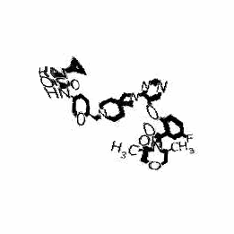 C[C@@H]1COC[C@](C)(O)N1C(=O)c1cc(F)ccc1Oc1cncnc1N1CC2(CCN(C[C@@H]3CC[C@@H](NS(=O)(=O)NC4CC4)CO3)CC2)C1